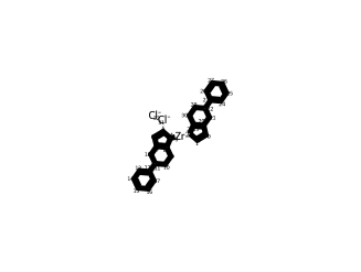 C1=C[CH]([Zr+2][CH]2C=CC3=C2CCC(c2ccccc2)C3)C2=C1CC(c1ccccc1)CC2.[Cl-].[Cl-]